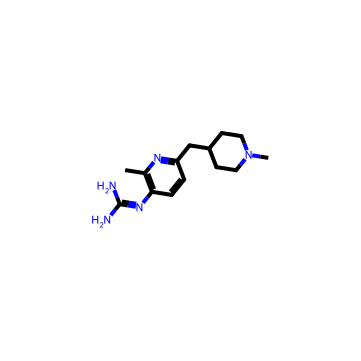 Cc1nc(CC2CCN(C)CC2)ccc1N=C(N)N